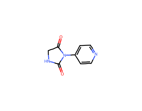 O=C1CNC(=O)N1c1ccncc1